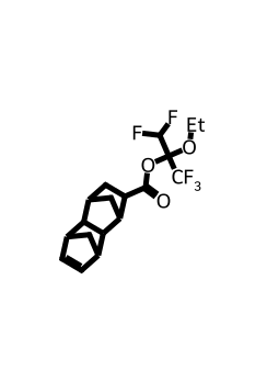 CCOC(OC(=O)C1CC2CC1C1C3C=CC(C3)C21)(C(F)F)C(F)(F)F